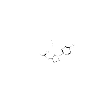 Cl.Cl.Cl.N=C(N)NC1CCN(c2ccc(N)cc2)C1